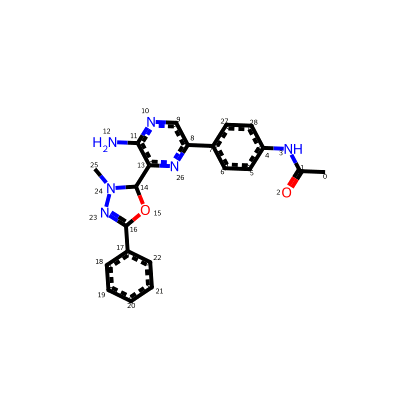 CC(=O)Nc1ccc(-c2cnc(N)c(C3OC(c4ccccc4)=NN3C)n2)cc1